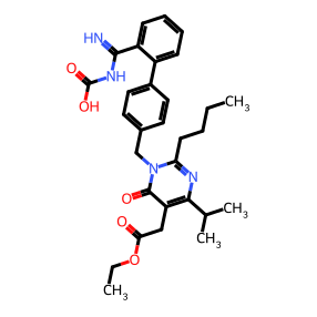 CCCCc1nc(C(C)C)c(CC(=O)OCC)c(=O)n1Cc1ccc(-c2ccccc2C(=N)NC(=O)O)cc1